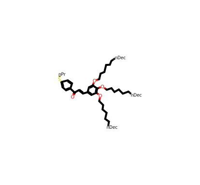 CCCCCCCCCCCCCCCCOc1cc(/C=C/C(=O)c2ccc(SCCC)cc2)cc(OCCCCCCCCCCCCCCCC)c1OCCCCCCCCCCCCCCCC